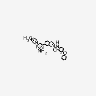 C=C(Nc1ccc(Oc2ccccc2)cc1)N1CCc2ccc(-c3cc(N4CCN(C)CC4)nc(N)n3)cc2C1